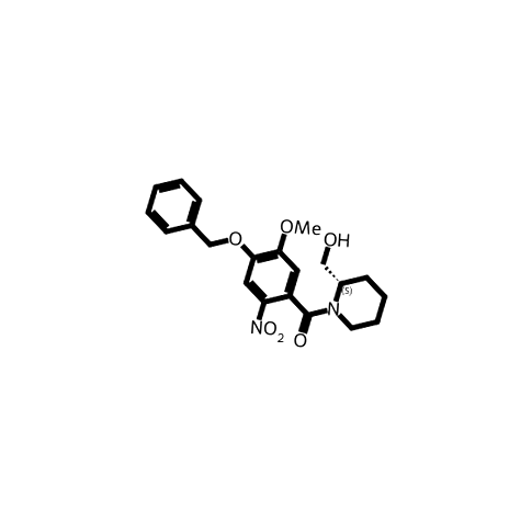 COc1cc(C(=O)N2CCCC[C@H]2CO)c([N+](=O)[O-])cc1OCc1ccccc1